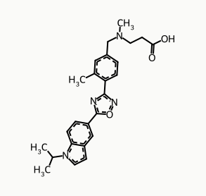 Cc1cc(CN(C)CCC(=O)O)ccc1-c1noc(-c2ccc3c(ccn3C(C)C)c2)n1